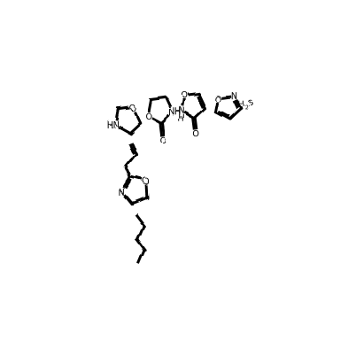 C1COCN1.C=CCC1=NCCO1.CCCCC.O=C1NCCO1.O=c1cco[nH]1.S.c1cnoc1